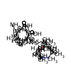 CCCCN(CCSSCCC(=O)N(C)[C@@H](C)C(=O)OC12CC(=O)N(C)c3cc(cc(OC)c3Cl)C/C(C)=C/C=C/[C@@H](OC)[C@@]3(O)C[C@H](OC(=O)N3)[C@@H](C)[C@H](O1)[C@@H]2C)C(=O)CC[C@H]1C(=O)N[C@@H](Cc2ccc(O)cc2)C(=O)N[C@H](Cc2c[nH]c3ccccc23)C(=O)N[C@@H](CCCCCN)C(=O)N[C@@H]([C@@H](C)O)C(O)N[C@@H](Cc2ccccc2)C(=O)N1C